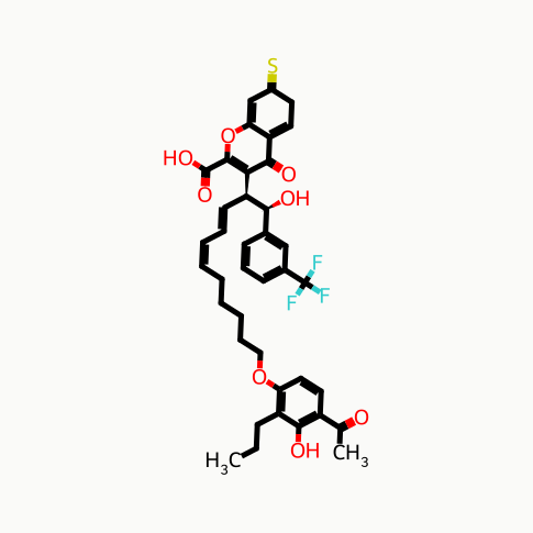 CCCc1c(OCCCCC/C=C\C=C\[C@@H](c2c(C(=O)O)oc3c(c2=O)=CCC(=S)C=3)[C@@H](O)c2cccc(C(F)(F)F)c2)ccc(C(C)=O)c1O